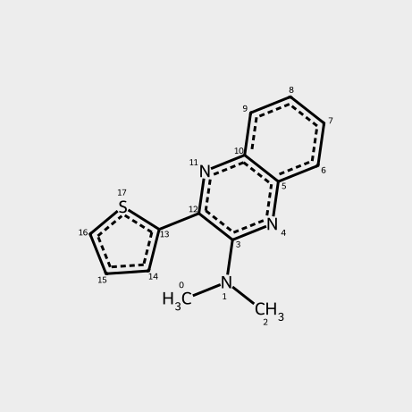 CN(C)c1nc2ccccc2nc1-c1cccs1